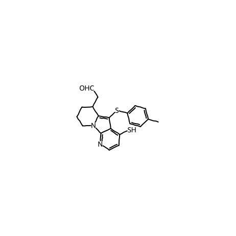 Cc1ccc(Sc2c3n(c4nccc(S)c24)CCCC3CC=O)cc1